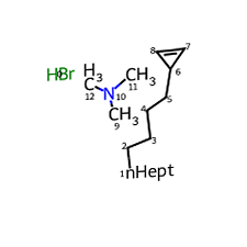 Br.CCCCCCCCCCCC1C=C1.CN(C)C